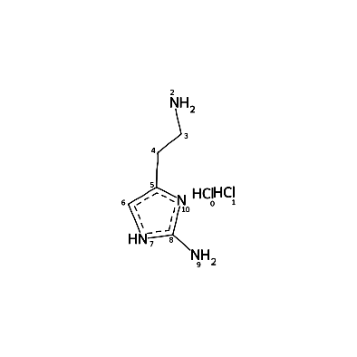 Cl.Cl.NCCc1c[nH]c(N)n1